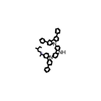 CCC(C)C/C=C(\C)c1ccc2c(c1)c1cc(-c3ccccc3)ccc1n2-c1ccc2[nH]c3ccc(-n4c5ccc(-c6ccccc6)cc5c5cc(-c6ccccc6)ccc54)cc3c2c1